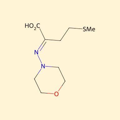 CSCCC(=NN1CCOCC1)C(=O)O